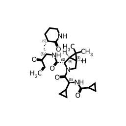 C=CC(=O)[C@H](C[C@@H]1CCCNC1=O)NC(=O)[C@@H]1[C@@H]2[C@H](CN1C(=O)[C@@H](NC(=O)C1CC1)C1CC1)C2(C)C